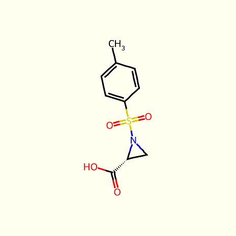 Cc1ccc(S(=O)(=O)N2C[C@@H]2C(=O)O)cc1